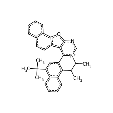 CC1c2c(cc(C(C)(C)C)c3ccccc23)-c2c3c(nc[n+]2C1C)oc1c2ccccc2ccc13